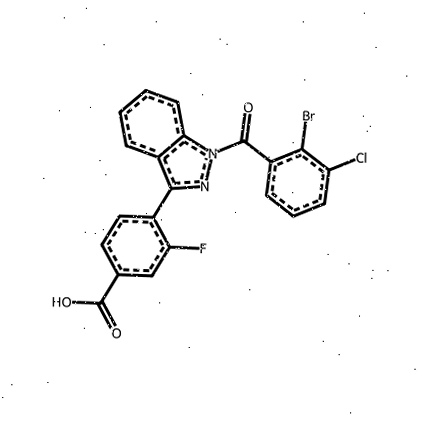 O=C(O)c1ccc(-c2nn(C(=O)c3cccc(Cl)c3Br)c3ccccc23)c(F)c1